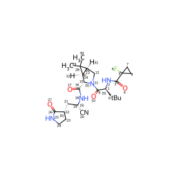 CC(C)(C)[C@H](NC(=O)C1(F)CC1)C(=O)N1C[C@H]2[C@@H]([C@H]1C(=O)N[C@H](C#N)C[C@@H]1CCNC1=O)C2(C)C